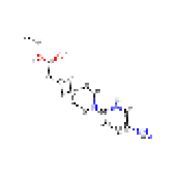 CCOC(=O)CC1CC2(CCN(c3ccc(N)cn3)CC2)C1